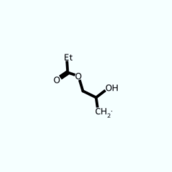 [CH2]C(O)COC(=O)CC